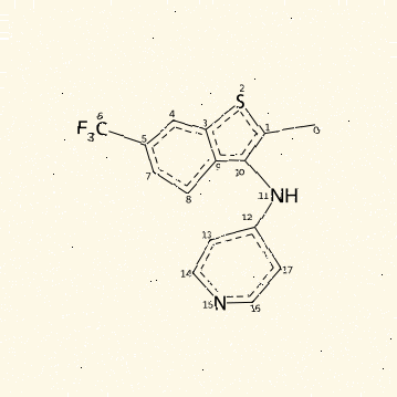 Cc1sc2cc(C(F)(F)F)ccc2c1Nc1ccncc1